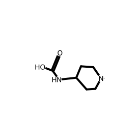 O=C(O)NC1CC[N]CC1